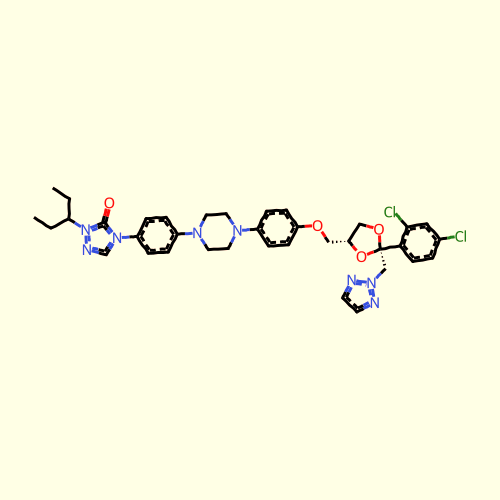 CCC(CC)n1ncn(-c2ccc(N3CCN(c4ccc(OC[C@@H]5CO[C@@](Cn6nccn6)(c6ccc(Cl)cc6Cl)O5)cc4)CC3)cc2)c1=O